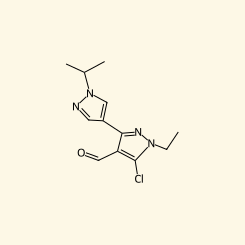 CCn1nc(-c2cnn(C(C)C)c2)c(C=O)c1Cl